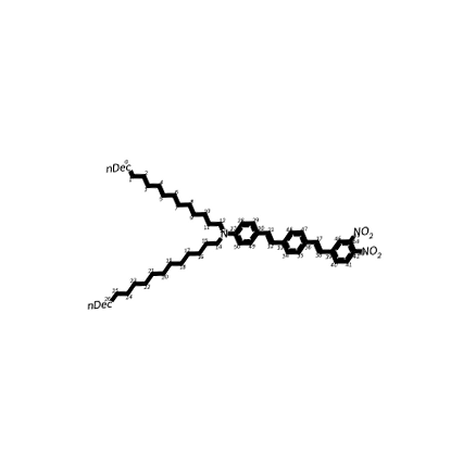 CCCCCCCCCCCCCCCCCCCCCCN(CCCCCCCCCCCCCCCCCCCCCC)c1ccc(C=Cc2ccc(C=Cc3ccc([N+](=O)[O-])c([N+](=O)[O-])c3)cc2)cc1